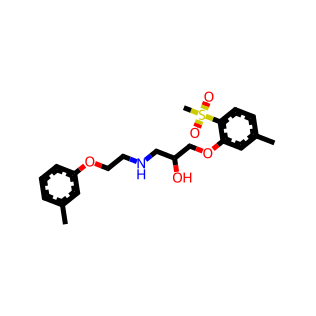 Cc1cccc(OCCNCC(O)COc2cc(C)ccc2S(C)(=O)=O)c1